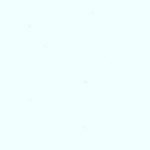 CCN(CC)C(=O)c1ccc([N+](=O)[O-])cc1S(=O)(=O)O.CN(C)C(=O)c1ccc([N+](=O)[O-])cc1S(=O)(=O)O.[K]